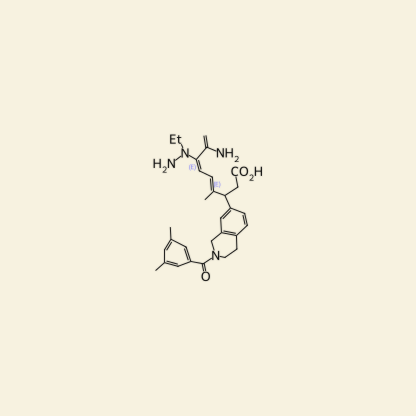 C=C(N)/C(=C\C=C(/C)C(CC(=O)O)c1ccc2c(c1)CN(C(=O)c1cc(C)cc(C)c1)CC2)N(N)CC